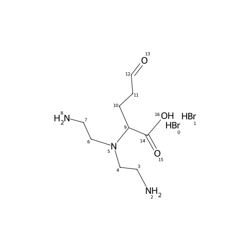 Br.Br.NCCN(CCN)C(CCC=O)C(=O)O